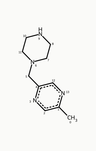 Cc1cnc(CN2CCNCC2)cn1